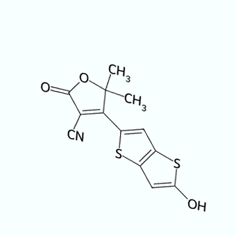 CC1(C)OC(=O)C(C#N)=C1c1cc2sc(O)cc2s1